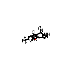 CO/N=C1/c2[nH]ncc2C2c3cccc(Cl)c3C1N2S(=O)(=O)c1ccc(C(F)(F)F)nc1